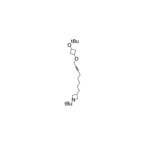 CC(C)(C)OC1CC(OCC#CCCCCCC2CN(C(C)(C)C)C2)C1